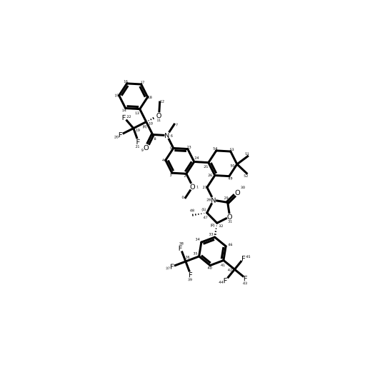 COc1ccc(N(C)C(=O)[C@](OC)(c2ccccc2)C(F)(F)F)cc1C1=C(CN2C(=O)O[C@H](c3cc(C(F)(F)F)cc(C(F)(F)F)c3)[C@@H]2C)CC(C)(C)CC1